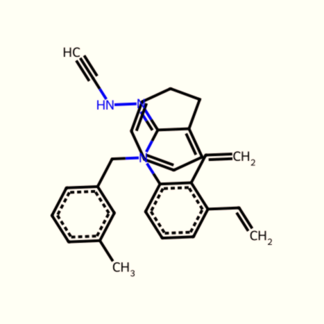 C#CN/N=C(/C1=C\C=C/C=C\CC1)N(Cc1cccc(C)c1)c1cccc(C=C)c1C=C